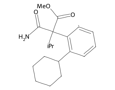 COC(=O)C(C(N)=O)(c1[c]cccc1C1CCCCC1)C(C)C